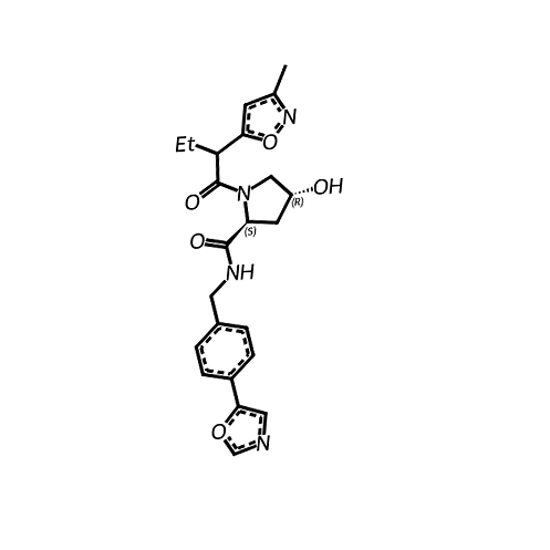 CCC(C(=O)N1C[C@H](O)C[C@H]1C(=O)NCc1ccc(-c2cnco2)cc1)c1cc(C)no1